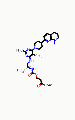 COC(=O)CCOC(=O)N[C@@H](CNc1nc(C)nc(N2CCC(c3ccc4c(n3)NCCC4)CC2)c1C)C(=O)O